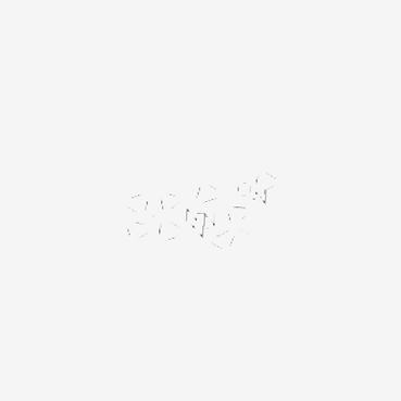 c1ccc(-c2nc(-c3cccc4c3-c3ccccc3C4(c3ccccc3)c3ccccc3)nc(-c3cccc4sc5cc(-c6nc7ccccc7o6)ccc5c34)n2)cc1